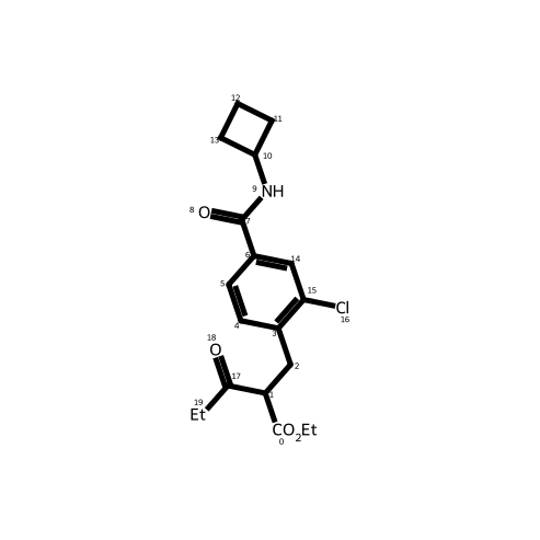 CCOC(=O)C(Cc1ccc(C(=O)NC2CCC2)cc1Cl)C(=O)CC